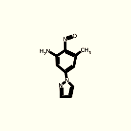 Cc1cc(-n2cccn2)cc(N)c1N=O